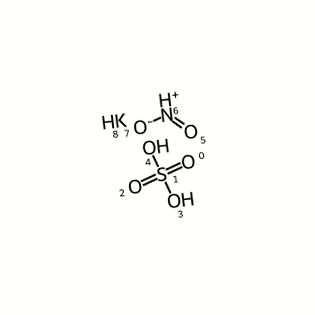 O=S(=O)(O)O.O=[NH+][O-].[KH]